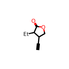 C#CC1COC(=O)C1CC